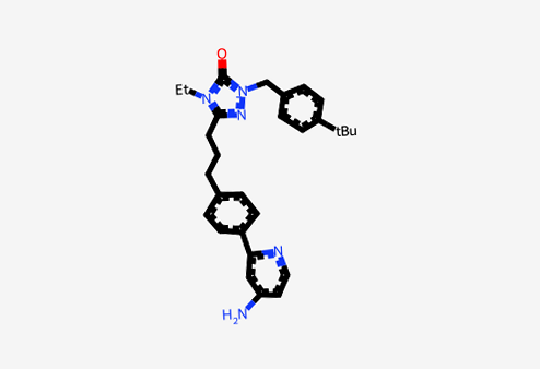 CCn1c(CCCc2ccc(-c3cc(N)ccn3)cc2)nn(Cc2ccc(C(C)(C)C)cc2)c1=O